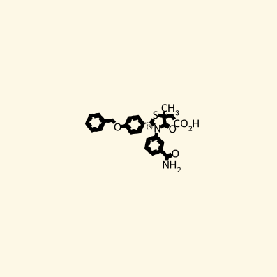 C[C@]1(CC(=O)O)S[C@@H](c2ccc(OCc3ccccc3)cc2)N(c2cccc(C(N)=O)c2)C1=O